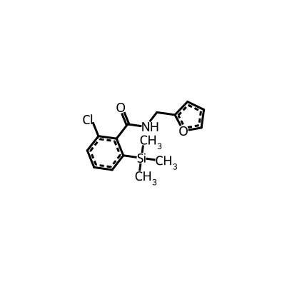 C[Si](C)(C)c1cccc(Cl)c1C(=O)NCc1ccco1